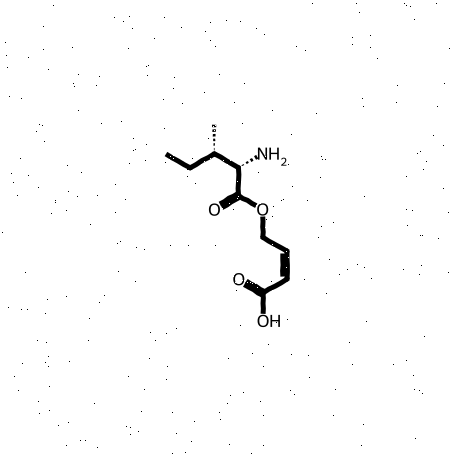 CC[C@H](C)[C@H](N)C(=O)OC/C=C\C(=O)O